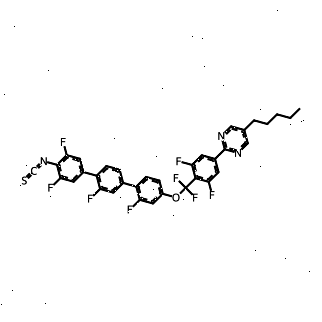 CCCCCc1cnc(-c2cc(F)c(C(F)(F)Oc3ccc(-c4ccc(-c5cc(F)c(N=C=S)c(F)c5)c(F)c4)c(F)c3)c(F)c2)nc1